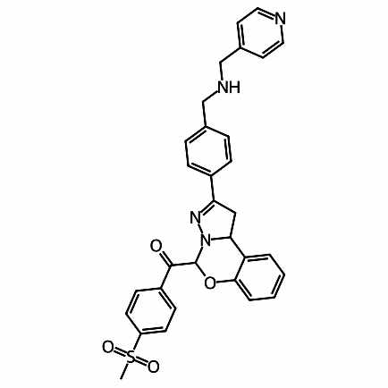 CS(=O)(=O)c1ccc(C(=O)C2Oc3ccccc3C3CC(c4ccc(CNCc5ccncc5)cc4)=NN23)cc1